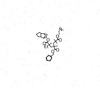 CCC(C)(CC(C)(CC(C)(C)C(=O)OCCN(C)C)C(=O)OCc1ccccc1)C(=O)OC1CC2CC1C1CCCC21